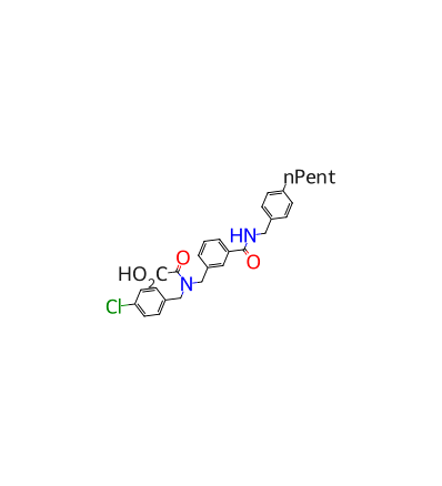 CCCCCc1ccc(CNC(=O)c2cccc(CN(Cc3ccc(Cl)cc3)C(=O)C(=O)O)c2)cc1